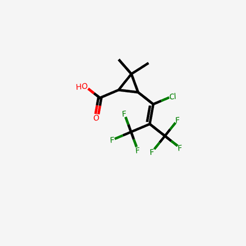 CC1(C)C(C(=O)O)C1C(Cl)=C(C(F)(F)F)C(F)(F)F